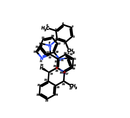 Cc1cccc(C)c1-n1ccnc1-c1cccc2c1[C@@H]1c3ccccc3C2(C)N2C=CN(c3ccccc3)C12